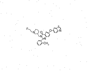 Cc1ccccc1-c1nc2ccc(Oc3ccc4ncsc4c3)cc2c(=O)n1CC1CCCN(CCF)C1